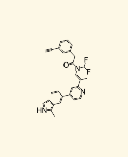 C#Cc1cccc(CC(=O)N(/C=C(\C)c2cc(/C(C=C)=C/c3cc[nH]c3C)ccn2)C(F)F)c1